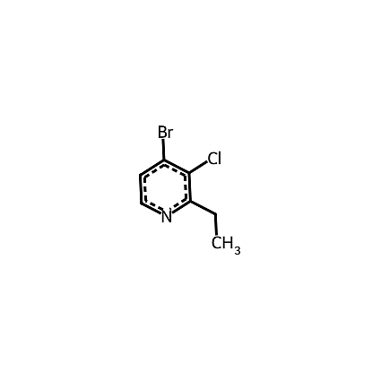 CCc1nccc(Br)c1Cl